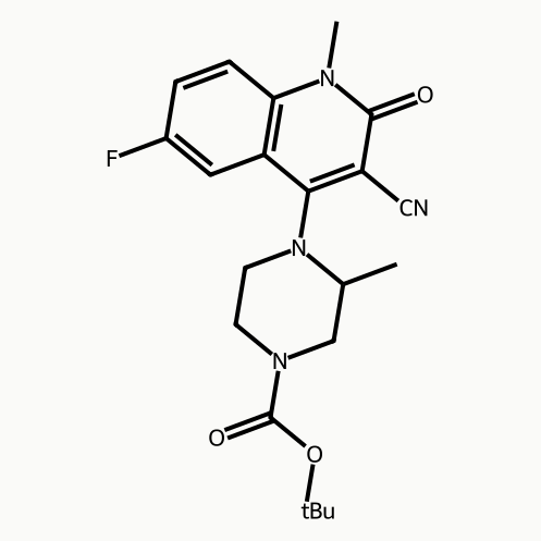 CC1CN(C(=O)OC(C)(C)C)CCN1c1c(C#N)c(=O)n(C)c2ccc(F)cc12